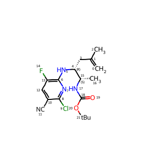 C=C(C)C[C@@H](Nc1nc(Cl)c(C#N)cc1F)[C@H](C)NC(=O)OC(C)(C)C